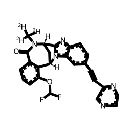 [2H]C([2H])([2H])N1C(=O)c2cccc(OC(F)F)c2[C@H]2C[C@@H]1c1nc3ccc(C#Cc4cnccn4)cc3n12